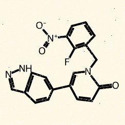 O=c1ccc(-c2ccc3cn[nH]c3c2)cn1Cc1cccc([N+](=O)[O-])c1F